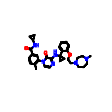 Cc1ccc(C(=O)NC2CC2)cc1-n1ccnc(NC2(c3ccccc3OCCN3CCCN(C)CC3)CC2)c1=O